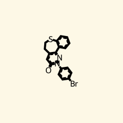 O=c1cc2c(nn1-c1ccc(Br)cc1)-c1ccccc1SCC2